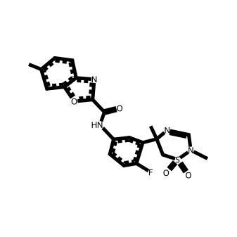 Cc1ccc2nc(C(=O)Nc3ccc(F)c(C4(C)CS(=O)(=O)N(C)C=N4)c3)oc2c1